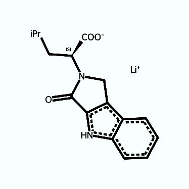 CC(C)C[C@@H](C(=O)[O-])N1Cc2c([nH]c3ccccc23)C1=O.[Li+]